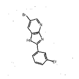 CCc1cccc(-c2nc3ncc(Br)cc3[nH]2)c1